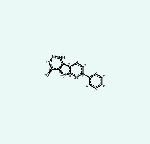 O=c1nn[nH]c2c1sc1nc(-c3ccccc3)ccc12